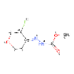 CC(C)(C)OC(=O)NN=C1CCOCC1F